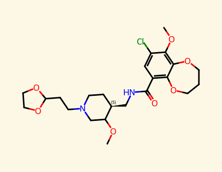 COc1c(Cl)cc(C(=O)NC[C@@H]2CCN(CCC3OCCO3)CC2OC)c2c1OCCCO2